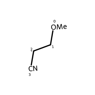 COC[CH]C#N